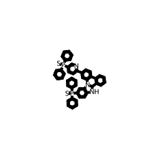 S=P(c1ccccc1)(c1ccccc1)c1ccc(-c2ccc3c(c2)N2c4cc(P(=S)(c5ccccc5)c5ccccc5)ccc4NC2c2ccccc2-3)nc1